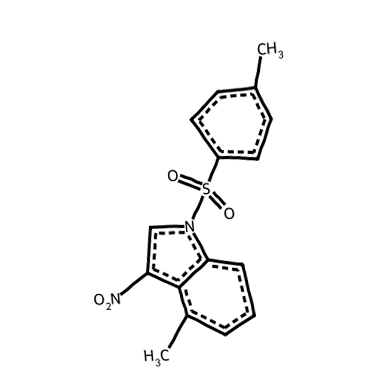 Cc1ccc(S(=O)(=O)n2cc([N+](=O)[O-])c3c(C)cccc32)cc1